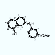 COc1cccc(Nc2ccc3cccc(Cl)c3n2)c1